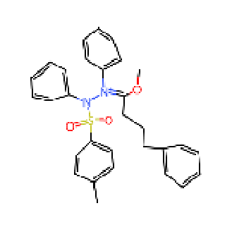 COC(CCCc1ccccc1)=[N+](c1ccccc1)N(c1ccccc1)S(=O)(=O)c1ccc(C)cc1